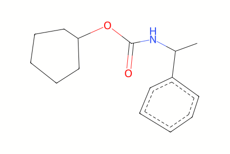 CC(NC(=O)OC1CCCCC1)c1ccccc1